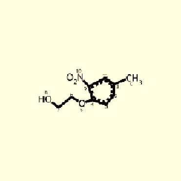 Cc1ccc(OCCO)c([N+](=O)[O-])c1